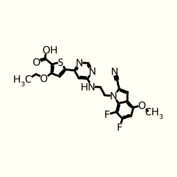 CCOc1cc(-c2cc(NCCn3c(C#N)cc4c(OC)cc(F)c(F)c43)ncn2)sc1C(=O)O